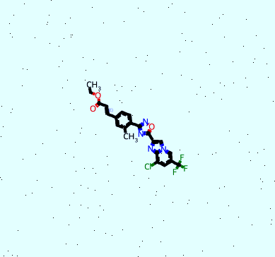 CCOC(=O)/C=C/c1ccc(-c2noc(-c3cn4cc(C(F)(F)F)cc(Cl)c4n3)n2)c(C)c1